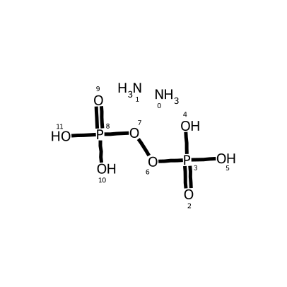 N.N.O=P(O)(O)OOP(=O)(O)O